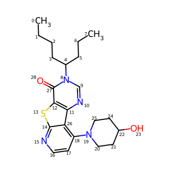 CCCCC(CCC)n1cnc2c(sc3nccc(N4CCC(O)CC4)c32)c1=O